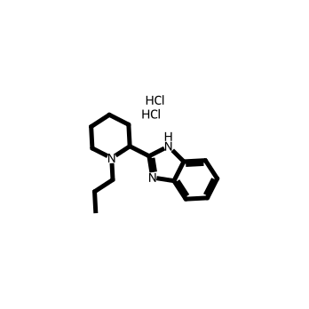 CCCN1CCCCC1c1nc2ccccc2[nH]1.Cl.Cl